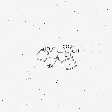 CC(O)(C(=O)O)C(C(=O)O)[Si](c1ccccc1)(c1ccccc1)C(C)(C)C